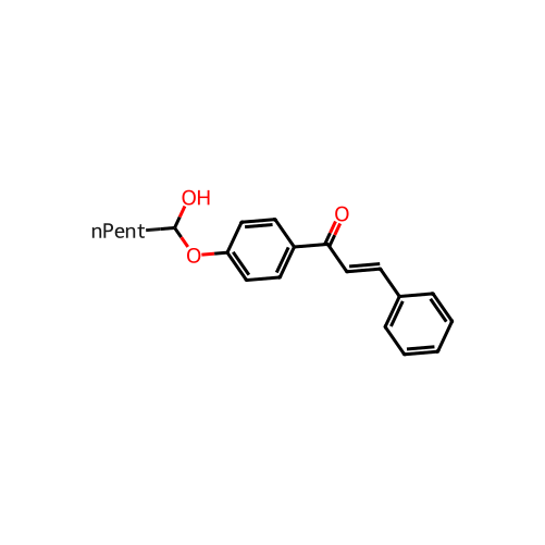 CCCCCC(O)Oc1ccc(C(=O)C=Cc2ccccc2)cc1